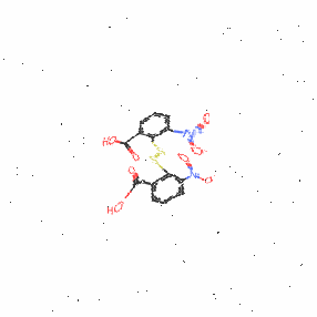 O=C(O)c1cccc([N+](=O)[O-])c1SSc1c(C(=O)O)cccc1[N+](=O)[O-]